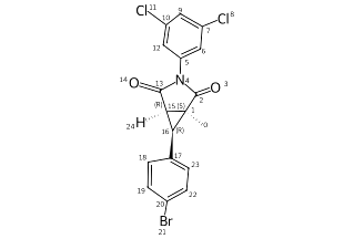 C[C@@]12C(=O)N(c3cc(Cl)cc(Cl)c3)C(=O)[C@@H]1[C@@H]2c1ccc(Br)cc1